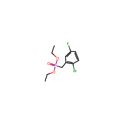 CCOP(=O)(Cc1cc(F)ccc1Br)OCC